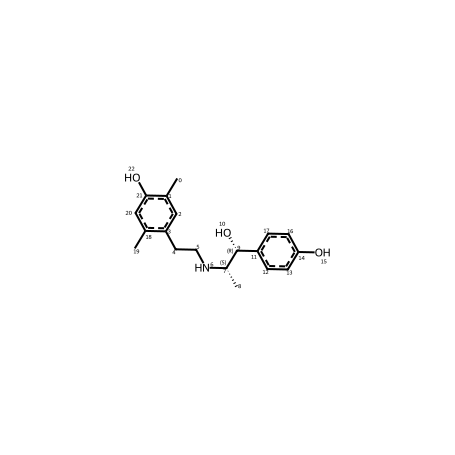 Cc1cc(CCN[C@@H](C)[C@H](O)c2ccc(O)cc2)c(C)cc1O